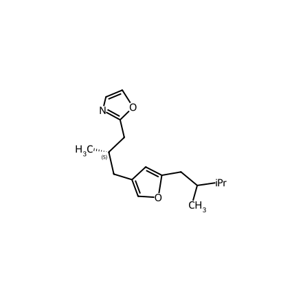 CC(C)C(C)Cc1cc(C[C@H](C)Cc2ncco2)co1